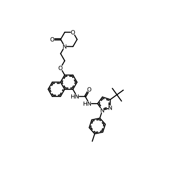 Cc1ccc(-n2nc(C(C)(C)C)cc2NC(=O)Nc2ccc(OCCN3CCOCC3=O)c3ccccc23)cc1